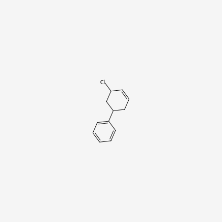 ClC1C=CCC(c2ccccc2)C1